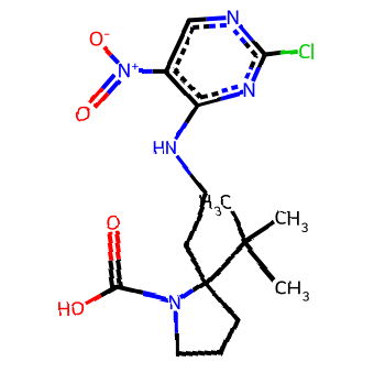 CC(C)(C)C1(CCNc2nc(Cl)ncc2[N+](=O)[O-])CCCN1C(=O)O